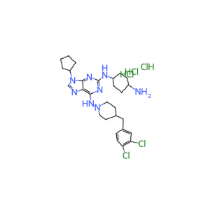 Cl.Cl.Cl.NC1CCC(Nc2nc(NN3CCC(Cc4ccc(Cl)c(Cl)c4)CC3)c3ncn(C4CCCC4)c3n2)CC1